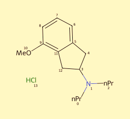 CCCN(CCC)C1Cc2cccc(OC)c2C1.Cl